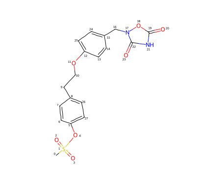 CS(=O)(=O)Oc1ccc(CCOc2ccc(Cn3oc(=O)[nH]c3=O)cc2)cc1